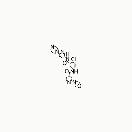 CN1CCCN(c2ccc(NC(=O)c3cc(NC(=O)c4ccnc(N5CCOCC5)c4)ccc3Cl)cn2)CC1